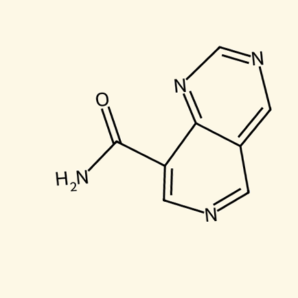 NC(=O)c1cncc2cncnc12